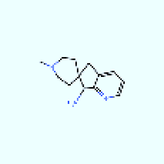 CN1CCC2(CC1)Cc1cccnc1C2N